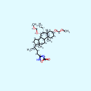 CC[C@H]1[C@@H](OCOC)C2C3CC[C@H]([C@H](C)CCc4nc(=O)o[nH]4)[C@@]3(C)CCC2[C@@]2(C)CC[C@@H](OCOC)C[C@@H]12